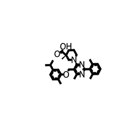 Cc1ccc(C(C)C)cc1OCc1c(C)nc(-c2c(C)cccc2C)nc1N1CCC[C@@](C)(C(=O)O)C1